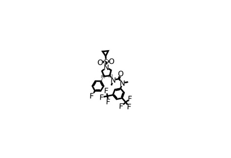 CN(C(=O)N(C)[C@@H]1CN(S(=O)(=O)C2CC2)C[C@H]1c1ccc(F)cc1)c1cc(C(F)(F)F)cc(C(F)(F)F)c1